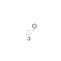 O=C(c1ccc(Cl)c(F)c1)N1CCS(=O)(=O)[C@@H](c2cccs2)C1